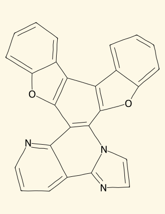 c1ccc2c(c1)oc1c2c2c3ccccc3oc2c2c1c1ncccc1c1nccn12